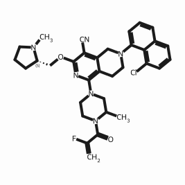 C=C(F)C(=O)N1CCN(c2nc(OC[C@@H]3CCCN3C)c(C#N)c3c2CCN(c2cccc4cccc(Cl)c24)C3)CC1C